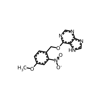 COc1ccc(COc2ncnc3nc[nH]c23)c([N+](=O)[O-])c1